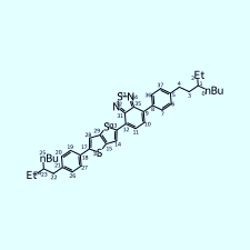 CCCCC(CC)CCc1ccc(-c2ccc(-c3cc4sc(-c5ccc(CC(CC)CCCC)cc5)cc4s3)c3nsnc23)cc1